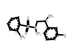 C[C@H](CN(C)S(=O)(=O)c1ccccc1[N+](=O)[O-])c1cccc(Cl)c1